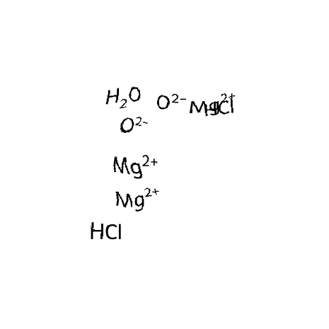 Cl.Cl.O.[Mg+2].[Mg+2].[Mg+2].[O-2].[O-2]